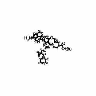 CC(C)(C)OC(=O)N1CCN2c3nc(OCC4(CN5CCOCC5)CC4)nc(N4CC5(C4)SCc4sc(N)c(C#N)c45)c3C(=O)OC[C@H]2C1